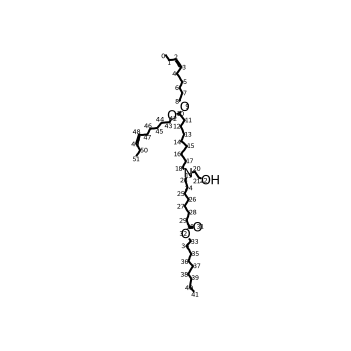 CC/C=C\CCCCCOC(CCCCCCCCN(CCO)CCCCCCCC(=O)OCCCCCCCCC)OCCCCC/C=C\CC